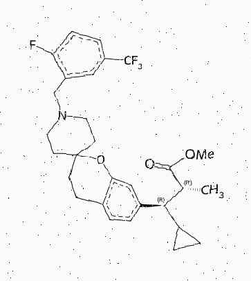 COC(=O)[C@H](C)[C@H](c1ccc2c(c1)OC1(CC2)CCN(Cc2cc(C(F)(F)F)ccc2F)CC1)C1CC1